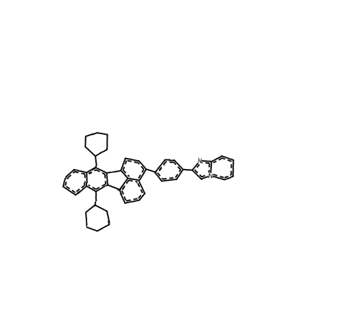 c1ccc2c(C3CCCCC3)c3c(c(C4CCCCC4)c2c1)-c1cccc2c(-c4ccc(-c5cn6ccccc6n5)cc4)ccc-3c12